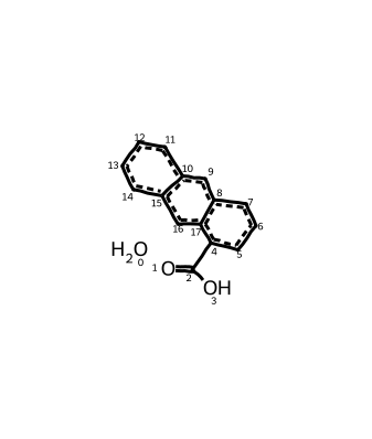 O.O=C(O)c1cccc2cc3ccccc3cc12